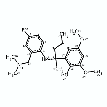 CCCC(C)(Pc1ccc(F)cc1CN(C)C)c1cc(OC)cc(OC)c1O